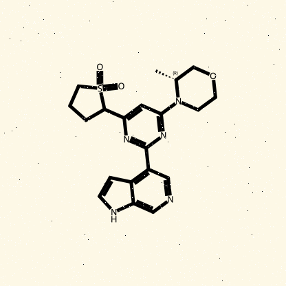 C[C@@H]1COCCN1c1cc(C2CCCS2(=O)=O)nc(-c2cncc3[nH]ccc23)n1